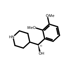 COc1cccc([C@@H](O)C2CCNCC2)c1OC